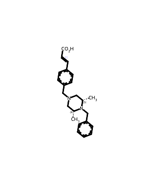 C[C@@H]1CN(Cc2ccc(/C=C/C(=O)O)cc2)C[C@H](C)N1Cc1ccccc1